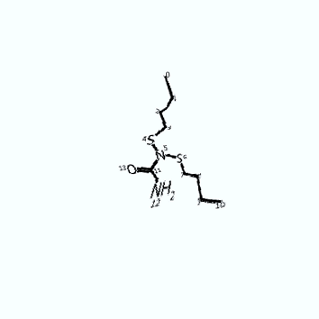 CCCCSN(SCCCC)C(N)=O